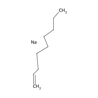 C=CCCCCCCC.[Na]